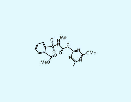 COC(=O)c1ccccc1S(=O)(=O)NC(=O)Nc1nc(C)nc(OC)n1.[Mn]